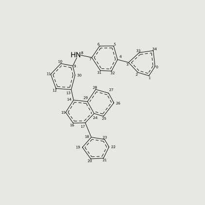 c1ccc(-c2ccc(Nc3cccc(-c4ccc(-c5ccccc5)c5ccccc45)c3)cc2)cc1